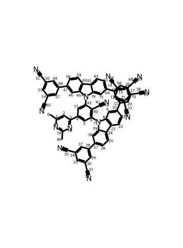 Cc1cc(-c2cc(-n3c4cc(-c5cc(C#N)cc(C#N)c5)ccc4c4ccc(-c5cc(C#N)cc(C#N)c5)cc43)c(C#N)c(-n3c4cc(-c5cc(C#N)cc(C#N)c5)ccc4c4ccc(-c5cc(C#N)cc(C#N)c5)cc43)c2)nc(C)n1